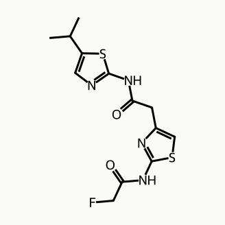 CC(C)c1cnc(NC(=O)Cc2csc(NC(=O)CF)n2)s1